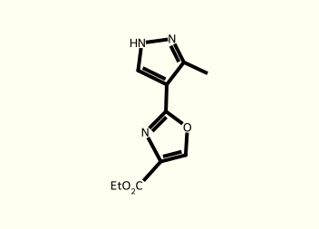 CCOC(=O)c1coc(-c2c[nH]nc2C)n1